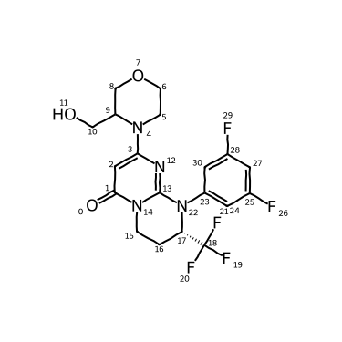 O=c1cc(N2CCOCC2CO)nc2n1CC[C@@H](C(F)(F)F)N2c1cc(F)cc(F)c1